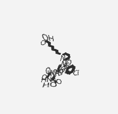 CCCCCCCC(=O)O.O=C(O)CN(c1ccccn1)S(=O)(=O)c1ccc(Cl)cc1.O=C1NC[C@@H](C(=O)O)NC1=O